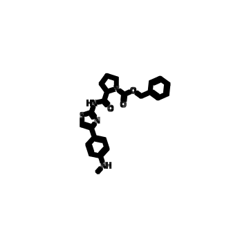 CNc1ccc(-c2csc(NC(=O)C3CCCN3C(=O)OCc3ccccc3)n2)cc1